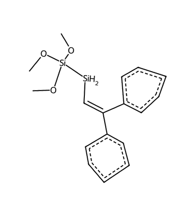 CO[Si](OC)(OC)[SiH2]C=C(c1ccccc1)c1ccccc1